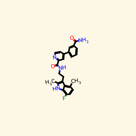 Cc1[nH]c2c(F)ccc(C)c2c1CCNC(=O)c1cc(-c2cccc(C(N)=O)c2)ccn1